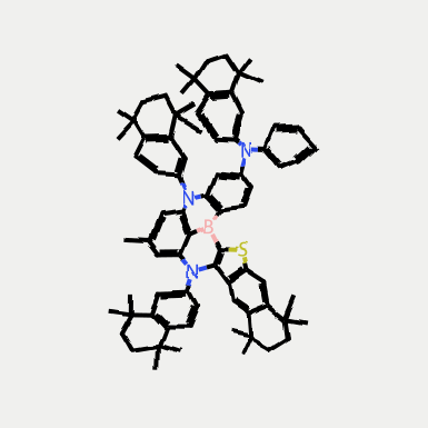 Cc1cc2c3c(c1)N(c1ccc4c(c1)C(C)(C)CCC4(C)C)c1c(sc4cc5c(cc14)C(C)(C)CCC5(C)C)B3c1ccc(N(c3ccccc3)c3ccc4c(c3)C(C)(C)CCC4(C)C)cc1N2c1ccc2c(c1)C(C)(C)CCC2(C)C